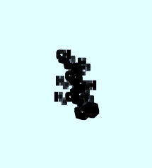 CCCCNC(=O)[C@H](C)C[C@H](N)[C@H](CC(C)(C)CC(=O)N1CCCc2ccccc21)N=N